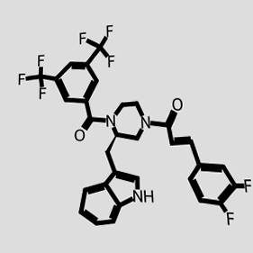 O=C(/C=C/c1ccc(F)c(F)c1)N1CCN(C(=O)c2cc(C(F)(F)F)cc(C(F)(F)F)c2)[C@H](Cc2c[nH]c3ccccc23)C1